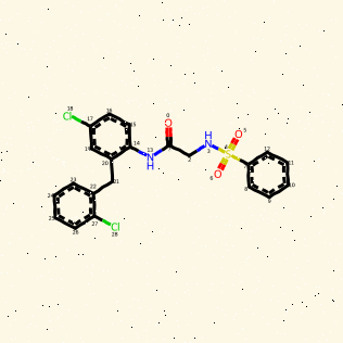 O=C(CNS(=O)(=O)c1ccccc1)Nc1ccc(Cl)cc1Cc1ccccc1Cl